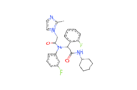 Cc1nccn1CC(=O)N(c1cccc(F)c1)C(C(=O)NC1CCCCC1)c1ccccc1F